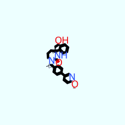 COc1ccc(-c2ccc([C@H](C)N3CCC[C@](CCO)(c4ccccc4)NC3=O)cc2)cn1